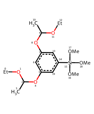 CCOC(C)Oc1cc(OC(C)OCC)cc([Si](OC)(OC)OC)c1